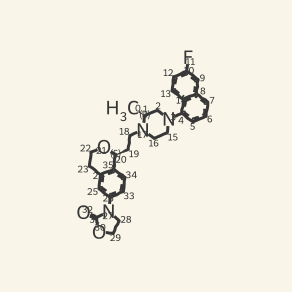 C[C@@H]1CN(c2cccc3cc(F)ccc23)CCN1CC[C@@H]1OCCc2cc(N3CCOC3=O)ccc21